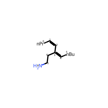 CCC/C=C\C(=C/CCCC)CCN